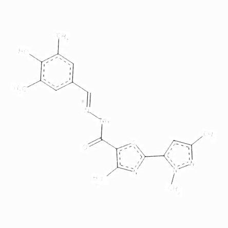 Cc1cc(-c2nc(C)c(C(=O)N/N=C/c3cc(C)c(O)c(C)c3)s2)n(C)n1